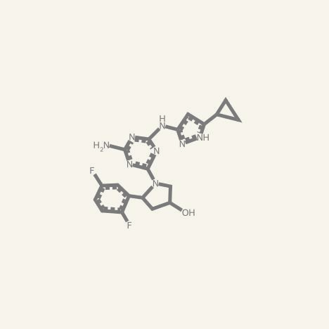 Nc1nc(Nc2cc(C3CC3)[nH]n2)nc(N2CC(O)CC2c2cc(F)ccc2F)n1